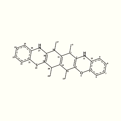 CC1C2=C(Oc3ccccc3N2)C(C)C2=C1C(C)C1=C(Sc3ccccc3N1)C2C